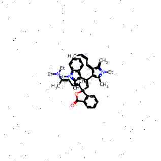 C=c1/c(=C\C=C/C)c(/C(=C/C2(/C(C)=C/C=C(\C)N(CC)CC)OC(=O)c3ccccc32)c2c(C)n(CC)c3ccccc23)c(C)n1CC